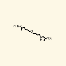 CCCCCCC(C)CCCCOCCCCNCC(C)CCCC